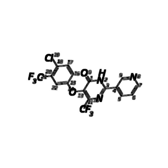 O=c1[nH]c(-c2cccnc2)nc(C(F)(F)F)c1Oc1ccc(Cl)c(C(F)(F)F)c1